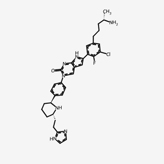 C[C@H](N)CCCc1cc(Cl)c(F)c(-c2cc3cn(-c4ccc([C@@H]5CCC[C@@H](CCc6ncc[nH]6)N5)cc4)c(=O)nc3[nH]2)c1